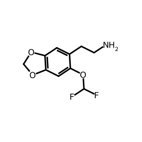 NCCc1cc2c(cc1OC(F)F)OCO2